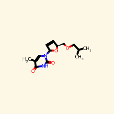 Cc1cn(C2C=C[C@@H](COCC(C)C)O2)c(=O)[nH]c1=O